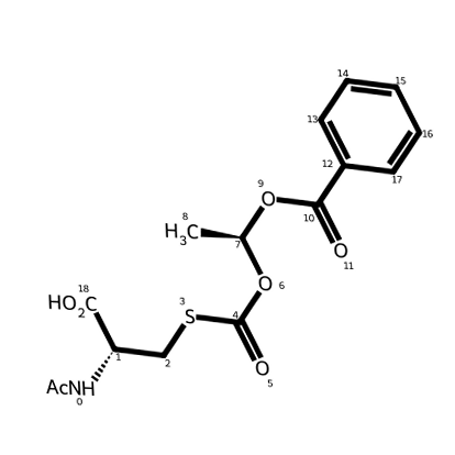 CC(=O)N[C@@H](CSC(=O)O[C@@H](C)OC(=O)c1ccccc1)C(=O)O